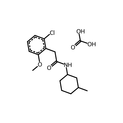 COc1cccc(Cl)c1CC(=O)NC1CCCC(C)C1.O=C(O)O